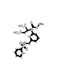 CC(C)(C)OC(=O)N(c1cccc(CNS(=O)(=O)c2ccccn2)n1)C(CC(=O)O)C(=O)O